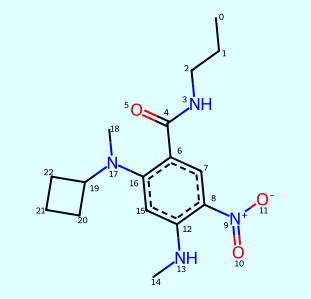 CCCNC(=O)c1cc([N+](=O)[O-])c(NC)cc1N(C)C1CCC1